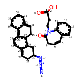 O=C(O)CCN1C(=O)CC=Cc2ccccc21.[N-]=[N+]=NC1CC=c2ccc3c(c2C1)CC=c1ccccc1=3